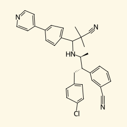 C[C@H](NC(c1ccc(-c2ccncc2)cc1)C(C)(C)C#N)[C@@H](Cc1ccc(Cl)cc1)c1cccc(C#N)c1